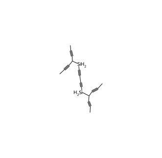 CC#CC(C#CC)[SiH2]C#CC#C[SiH2]C(C#CC)C#CC